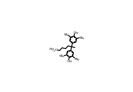 CC(C)(C)c1cc(C(C)(CCCCC(=O)O)c2cc(C(C)(C)C)c(O)c(C(C)(C)C)c2)cc(C(C)(C)C)c1O